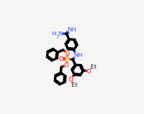 CCOc1cc(OCC)cc(C(Nc2ccc(C(=N)N)cc2)P(=O)(OCc2ccccc2)OCc2ccccc2)c1